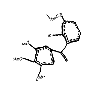 C=C(c1cc(OC)c(OC)c(OC)c1)c1cccc(OC)c1Br